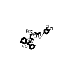 C[N+](C)(CCCOc1ccc(Cl)c(Cl)c1)Cc1cnc(C(O)(c2ccccc2)C2CCCCC2)o1.[Br-]